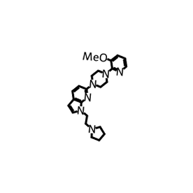 COc1cccnc1N1CCN(c2ccc3ccn(CCN4CCCC4)c3n2)CC1